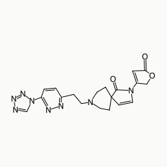 O=C1C=C(N2C=CC3(CCN(CCc4ccc(-n5cnnn5)nn4)CC3)C2=O)CO1